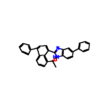 CC(=O)c1cccc2c(-c3ccccc3)ccc(-c3nc4cc(-c5ccccc5)ccc4[nH]3)c12